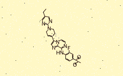 CCc1cnc(N2CC=C(c3cnc4c(Nc5ccc(S(C)(=O)=O)cc5F)nccn34)CC2)nc1